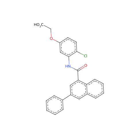 O=C(O)COc1ccc(Cl)c(NC(=O)c2cc(-c3ccccc3)cc3ccccc23)c1